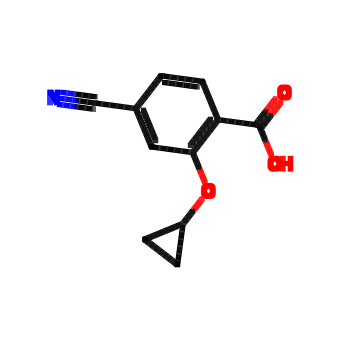 N#Cc1ccc(C(=O)O)c(OC2CC2)c1